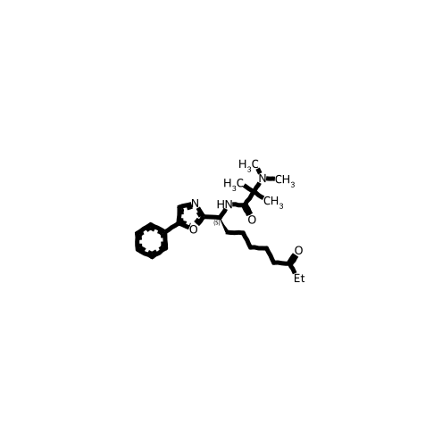 CCC(=O)CCCCC[C@H](NC(=O)C(C)(C)N(C)C)c1ncc(-c2ccccc2)o1